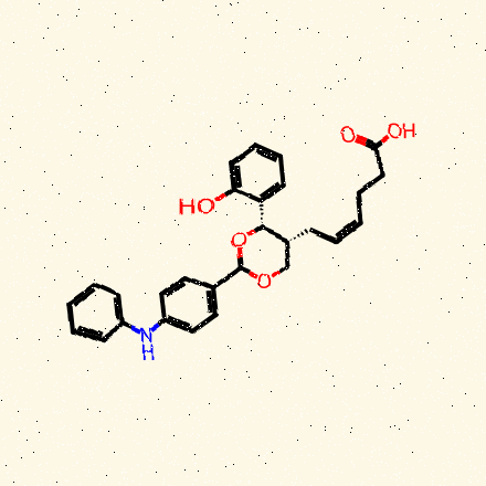 O=C(O)CC/C=C\C[C@@H]1COC(c2ccc(Nc3ccccc3)cc2)O[C@@H]1c1ccccc1O